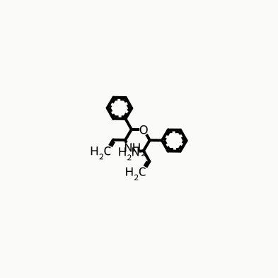 C=CC(N)C(OC(c1ccccc1)C(N)C=C)c1ccccc1